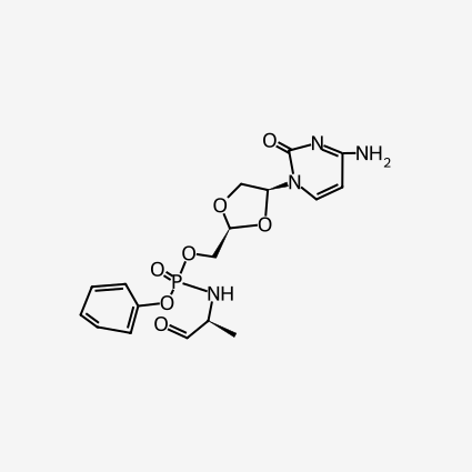 C[C@@H](C=O)NP(=O)(OC[C@H]1OC[C@@H](n2ccc(N)nc2=O)O1)Oc1ccccc1